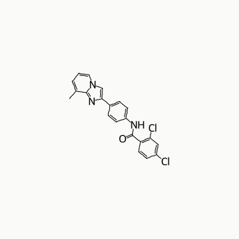 Cc1cccn2cc(-c3ccc(NC(=O)c4ccc(Cl)cc4Cl)cc3)nc12